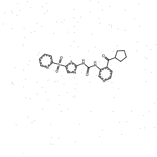 O=C(Nc1ncc(S(=O)(=O)c2ccccn2)s1)Nc1cnccc1C(=O)C1CCCC1